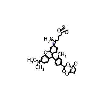 Cc1cc(C(=O)ON2C(=O)CCC2=O)ccc1-c1c2cc/c(=[N+](/C)CCCS(=O)(=O)[O-])cc-2oc2cc(N(C)C)ccc12